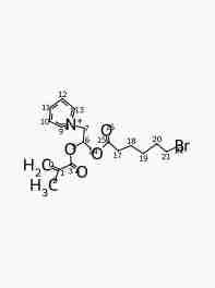 C=C(C)C(=O)OC(C[n+]1ccccc1)OC(=O)CCCCCBr